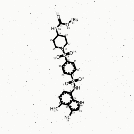 Cc1ccc(NS(=O)(=O)c2ccc(S(=O)(=O)N3CCC(NC(=O)OC(C)(C)C)CC3)cc2)c2[nH]cc(C#N)c12